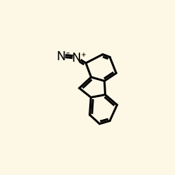 [N-]=[N+]=C1C=CC=C2C1=Cc1ccccc12